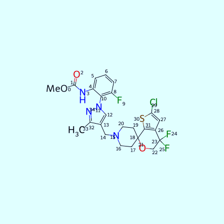 COC(=O)Nc1cccc(F)c1-n1cc(CN2CCC3(CC2)OCC(F)(F)c2cc(Cl)sc23)c(C)n1